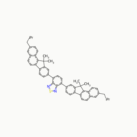 CC(C)Cc1ccc2c3c(ccc2c1)-c1ccc(-c2ccc(-c4ccc5c(c4)C(C)(C)c4c-5ccc5cc(CC(C)C)ccc45)c4nsnc24)cc1C3(C)C